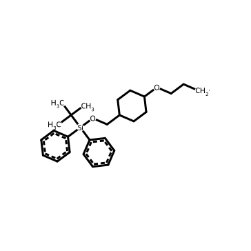 [CH2]CCOC1CCC(CO[Si](c2ccccc2)(c2ccccc2)C(C)(C)C)CC1